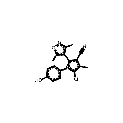 Cc1noc(C)c1-c1c(C#N)c(C)c(Cl)n1-c1ccc(O)cc1